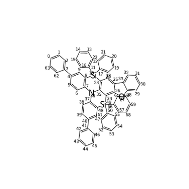 c1ccc(-c2ccc3c(c2)[Si](c2ccccc2)(c2ccccc2)c2cc4c(oc5ccccc54)c4c2N3c2ccc(-c3ccccc3)cc2[Si]4(c2ccccc2)c2ccccc2)cc1